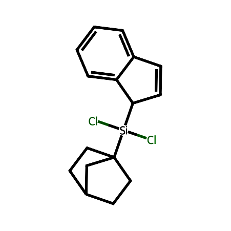 Cl[Si](Cl)(C1C=Cc2ccccc21)C12CCC(CC1)C2